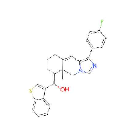 CC12Cn3cnc(-c4ccc(F)cc4)c3C=C1CCCC2C(O)c1csc2ccccc12